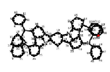 c1ccc(CCC(c2ccccc2)c2ccc3c4cc5c(cc4n4c6cccc(-c7ccccc7)c6c2c34)c2ccc(N(c3ccccc3)c3ccccc3)c3c4c(-c6ccccc6)cccc4n5c23)cc1